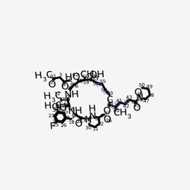 CC(=O)CCC[C@H]1C(=O)N[C@@H](C(C)C)C(=O)N[C@@H](Cc2cc(O)cc(F)c2)C(=O)N2CCCC(N2)C(=O)O[C@H](/C(C)=C/C=C/C(=O)N2CCCCO2)C/C=C/C=C/[C@H](O)[C@H](C)[C@H]1O